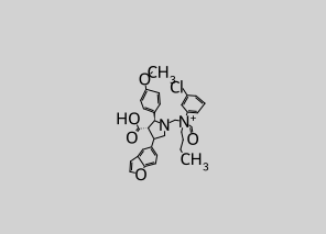 CCCC[N+](C=O)(CN1CC(c2ccc3occc3c2)[C@H](C(=O)O)[C@H]1c1ccc(OC)cc1)c1cccc(Cl)c1